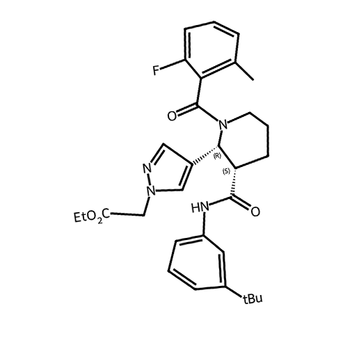 CCOC(=O)Cn1cc([C@H]2[C@@H](C(=O)Nc3cccc(C(C)(C)C)c3)CCCN2C(=O)c2c(C)cccc2F)cn1